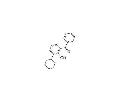 O=C(c1ccccc1)c1cccc(C2CCCCC2)c1O